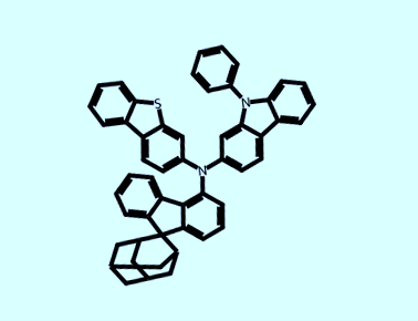 c1ccc(-n2c3ccccc3c3ccc(N(c4ccc5c(c4)sc4ccccc45)c4cccc5c4-c4ccccc4C54C5CC6CC(C5)CC4C6)cc32)cc1